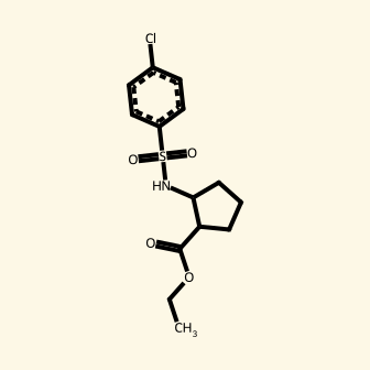 CCOC(=O)C1CCCC1NS(=O)(=O)c1ccc(Cl)cc1